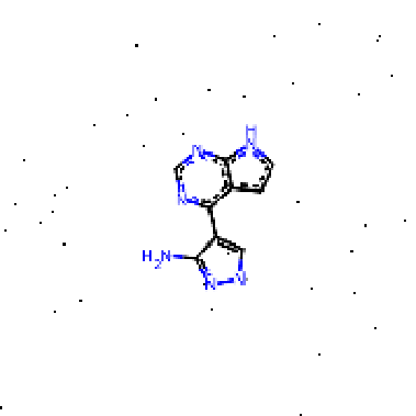 NC1=N[N]C=C1c1ncnc2[nH]ccc12